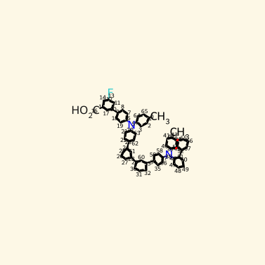 Cc1ccc(N(c2ccc(-c3cc(F)cc(C(=O)O)c3)cc2)c2ccc(-c3cccc(-c4cccc(-c5ccc(N(c6ccc(C)cc6)c6ccccc6-c6ccccc6)cc5)c4)c3)cc2)cc1